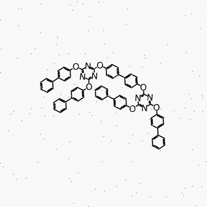 c1ccc(-c2ccc(Oc3nc(Oc4ccc(-c5ccccc5)cc4)nc(Oc4ccc(-c5ccc(Oc6nc(Oc7ccc(-c8ccccc8)cc7)nc(Oc7ccc(-c8ccccc8)cc7)n6)cc5)cc4)n3)cc2)cc1